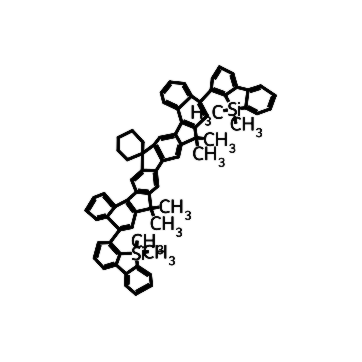 CC1(C)c2cc3c(cc2-c2c1cc(-c1cccc4c1[Si](C)(C)c1ccccc1-4)c1ccccc21)C1(CCCCC1)c1cc2c(cc1-3)C(C)(C)c1cc(-c3cccc4c3[Si](C)(C)c3ccccc3-4)c3ccccc3c1-2